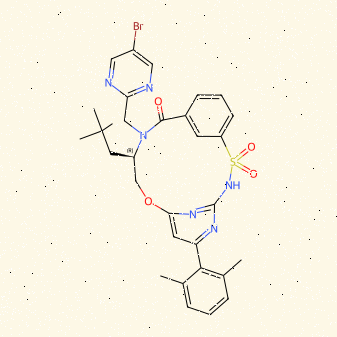 Cc1cccc(C)c1-c1cc2nc(n1)NS(=O)(=O)c1cccc(c1)C(=O)N(Cc1ncc(Br)cn1)[C@H](CC(C)(C)C)CO2